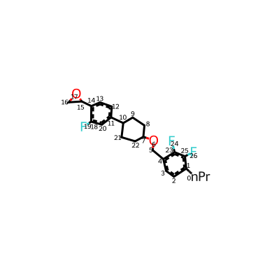 CCCc1ccc(COC2CCC(c3ccc(C4CO4)c(F)c3)CC2)c(F)c1F